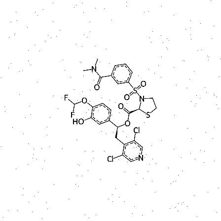 CN(C)C(=O)c1cccc(S(=O)(=O)N2CCS[C@H]2C(=O)O[C@@H](Cc2c(Cl)cncc2Cl)c2ccc(OC(F)F)c(O)c2)c1